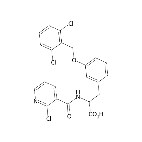 O=C(NC(Cc1cccc(OCc2c(Cl)cccc2Cl)c1)C(=O)O)c1cccnc1Cl